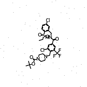 CCS(=O)(=O)c1ccc(Cl)cc1CNC(=O)c1cc(Cl)c(CN2CCN(C(=O)OC(C)(C)C)CC2)c(C(F)(F)F)c1